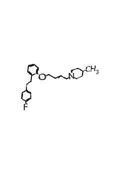 CC1CCN(CCCCOc2ccccc2CCc2ccc(F)cc2)CC1